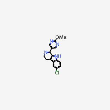 COc1ncc(C2=NCCc3c2[nH]c2ccc(Cl)cc32)cn1